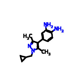 Cc1nn(CC2CC2)c(C)c1-c1ccc(N)c(N)c1